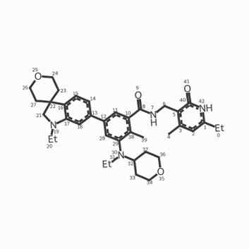 CCc1cc(C)c(CNC(=O)c2cc(-c3ccc4c(c3)N(CC)CC43CCOCC3)cc(N(CC)C3CCOCC3)c2C)c(=O)[nH]1